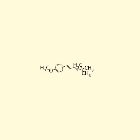 COc1ccc(/C=C/C=C/C(C)(C)C)cc1